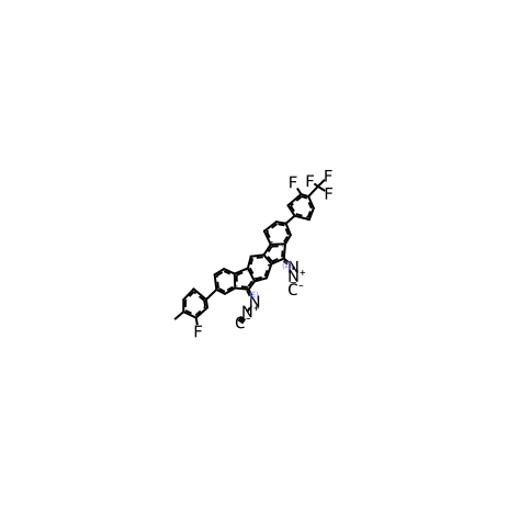 [C-]#[N+]/N=c1/c2cc(-c3ccc(C(F)(F)F)c(F)c3)ccc2c2cc3c(cc12)/c(=N/[N+]#[C-])c1cc(-c2ccc(C)c(F)c2)ccc13